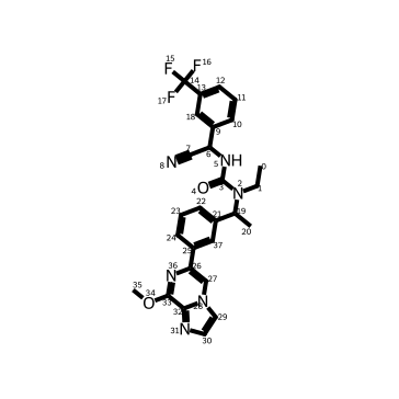 CCN(C(=O)NC(C#N)c1cccc(C(F)(F)F)c1)C(C)c1cccc(-c2cn3ccnc3c(OC)n2)c1